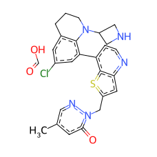 Cc1cnn(Cc2cc3nccc(-c4cc(Cl)cc5c4N(C4CNC4)CCC5)c3s2)c(=O)c1.O=CO